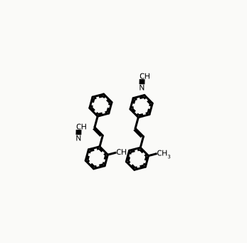 C#N.C#N.Cc1ccccc1/C=C/c1ccccc1.Cc1ccccc1/C=C/c1ccccc1